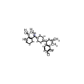 C=NC1=C(/C(=N\C)N2CCN(C(CN(C)C)c3ccc(Cl)c(F)c3)CC2)CCCN1